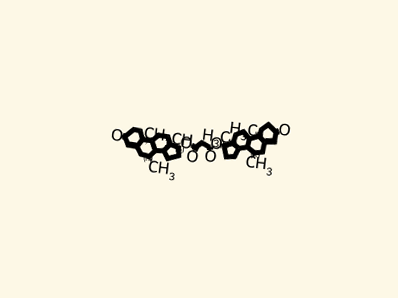 C[C@@H]1CC2=CC(=O)CC[C@]2(C)C2CC[C@@]3(C)C(CC[C@@H]3OC(=O)CC(=O)O[C@H]3CCC4C5C(CC[C@@]43C)[C@@]3(C)CCC(=O)C=C3C[C@H]5C)C21